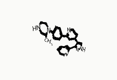 CC1CNCCN1c1ccc(-c2cc(-c3c[nH]nc3-c3ccccn3)ccn2)cc1